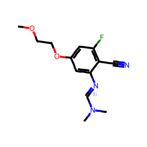 COCCOc1cc(F)c(C#N)c(/N=C/N(C)C)c1